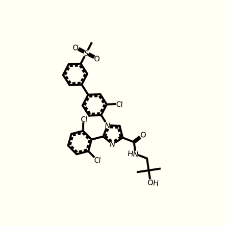 CC(C)(O)CNC(=O)c1cn(-c2ccc(-c3cccc(S(C)(=O)=O)c3)cc2Cl)c(-c2c(Cl)cccc2Cl)n1